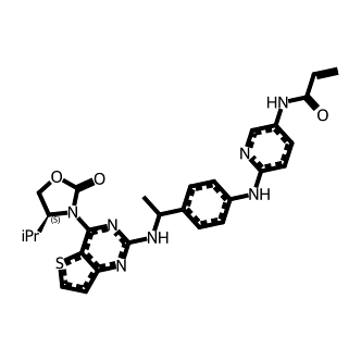 C=CC(=O)Nc1ccc(Nc2ccc(C(C)Nc3nc(N4C(=O)OC[C@@H]4C(C)C)c4sccc4n3)cc2)nc1